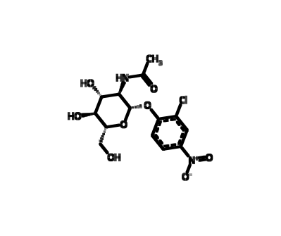 CC(=O)N[C@H]1[C@H](Oc2ccc([N+](=O)[O-])cc2Cl)O[C@H](CO)[C@@H](O)[C@@H]1O